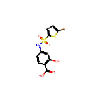 O=C(O)c1ccc(NS(=O)(=O)c2ccc(Br)s2)cc1O